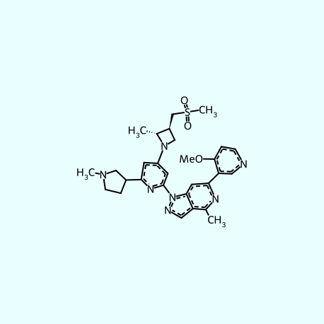 COc1ccncc1-c1cc2c(cnn2-c2cc(N3C[C@H](CS(C)(=O)=O)[C@H]3C)cc(C3CCN(C)C3)n2)c(C)n1